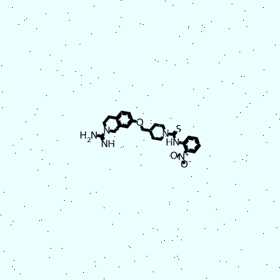 N=C(N)N1CCc2ccc(OCC3CCN(C(=S)Nc4ccccc4[N+](=O)[O-])CC3)cc2C1